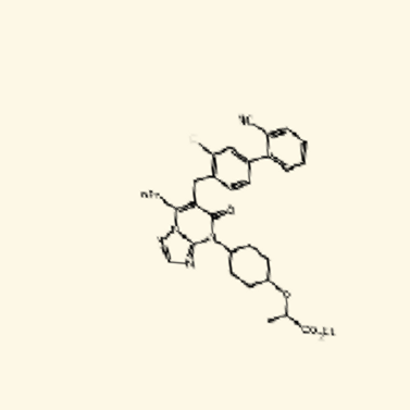 CCCc1c(Cc2ccc(-c3ccccc3C#N)cc2F)c(=O)n(C2CCC(OC(C)C(=O)OCC)CC2)c2ncnn12